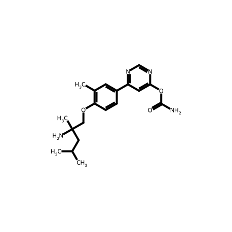 Cc1cc(-c2cc(OC(N)=O)ncn2)ccc1OCC(C)(N)CC(C)C